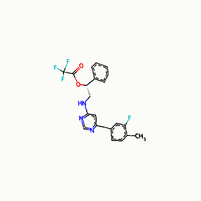 Cc1ccc(-c2cc(NC[C@H](OC(=O)C(F)(F)F)c3ccccc3)ncn2)cc1F